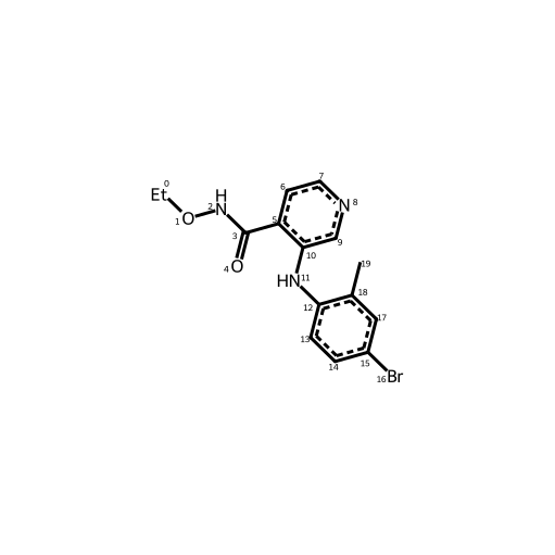 CCONC(=O)c1ccncc1Nc1ccc(Br)cc1C